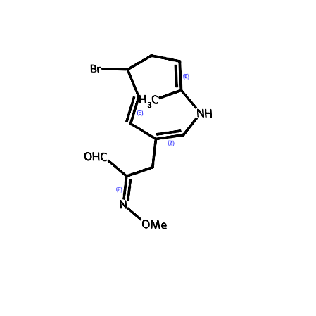 CO/N=C(/C=O)CC1=C/N/C(C)=C/CC(Br)\C=C\1